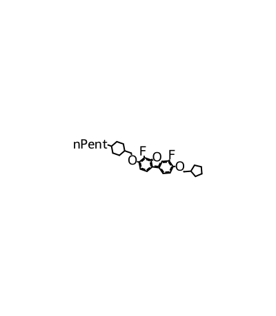 CCCCCC1CCC(COc2ccc3c(oc4c(F)c(OCC5CCCC5)ccc43)c2F)CC1